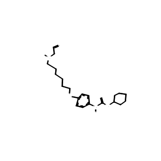 C=CCN(C)CCCCCCOc1ccc(N(C)C(=S)NC2CCCCC2)cc1